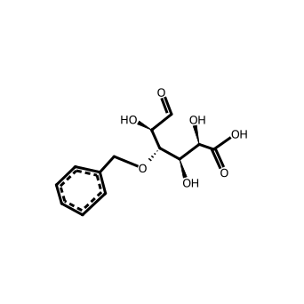 O=C[C@H](O)[C@@H](OCc1ccccc1)[C@H](O)[C@@H](O)C(=O)O